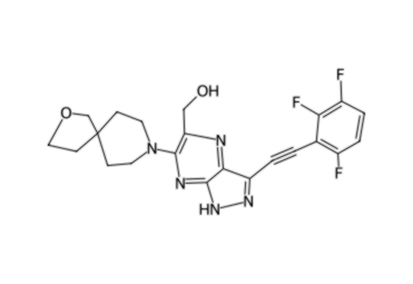 OCc1nc2c(C#Cc3c(F)ccc(F)c3F)n[nH]c2nc1N1CCC2(CCOC2)CC1